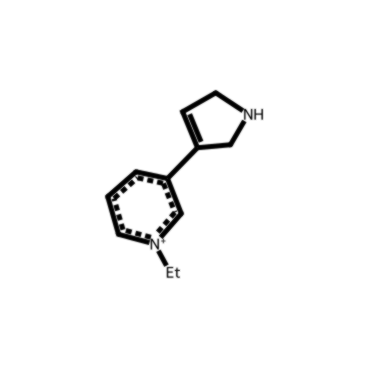 CC[n+]1cccc(C2=CCNC2)c1